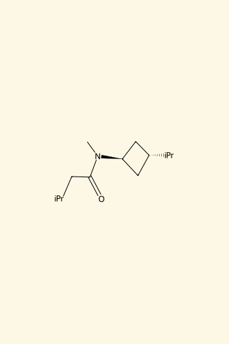 CC(C)CC(=O)N(C)[C@H]1C[C@H](C(C)C)C1